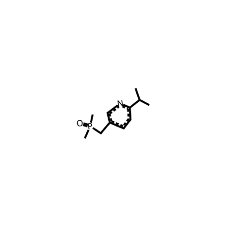 CC(C)c1ccc(CP(C)(C)=O)cn1